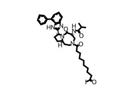 CC(C)C(=O)N[C@H]1CN(C(=O)CCCCCCCCC(=O)I)CC[C@H]2CC[C@@H](c3nc4cccc(-c5ccccc5)c4[nH]3)N2C1=O